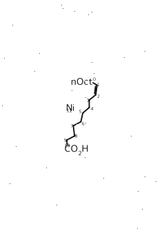 CCCCCCCC/C=C\CCCCCCCC(=O)O.[Ni]